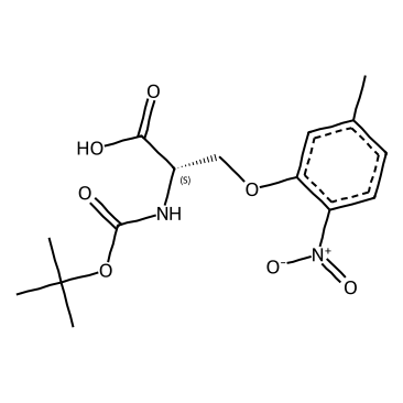 Cc1ccc([N+](=O)[O-])c(OC[C@H](NC(=O)OC(C)(C)C)C(=O)O)c1